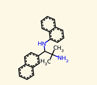 CC(C)(N)C(Nc1cccc2ccccc12)c1ccc2ccccc2c1